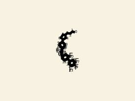 CCCCC1CCC(c2ccc(C(F)(F)Oc3ccc(-c4cc(F)c(F)c(F)c4)c(F)c3)cc2)C1